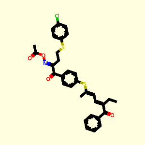 CC/C(=C\C=C(/C)Sc1ccc(C(=O)/C(CCSc2ccc(Cl)cc2)=N/OC(C)=O)cc1)C(=O)c1ccccc1